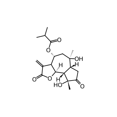 C=C1C(=O)O[C@H]2C1[C@H](OC(=O)C(C)C)C[C@@](C)(O)[C@@H]1CC(=O)[C@](C)(O)[C@@H]12